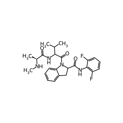 CN[C@@H](C)C(=O)NC(C(=O)N1c2ccccc2CC1C(=O)Nc1c(F)cccc1F)C(C)C